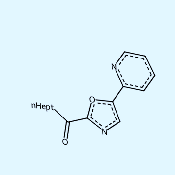 CCCCCCCC(=O)c1ncc(-c2ccccn2)o1